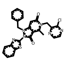 Cc1c2c(=O)n(-c3nc4ccccc4s3)n(Cc3ccccc3)c2cc(=O)n1Cc1nccnc1Cl